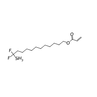 C=CC(=O)OCCCCCCCCCCCC(F)(F)[SiH3]